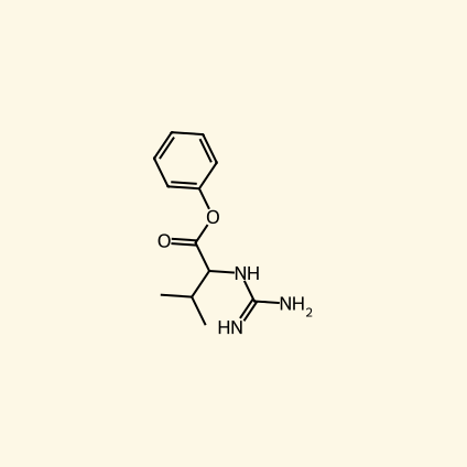 CC(C)C(NC(=N)N)C(=O)Oc1ccccc1